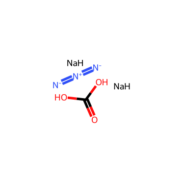 O=C(O)O.[N-]=[N+]=[N-].[NaH].[NaH]